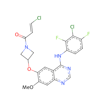 COc1cc2ncnc(Nc3ccc(F)c(Cl)c3F)c2cc1OC1CN(C(=O)C=CCl)C1